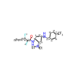 CCCCC[C@@H](F)[C@H](F)C(=O)Nc1ccc(NCc2ccc(C(F)(F)F)cc2)cc1N(CC)CC